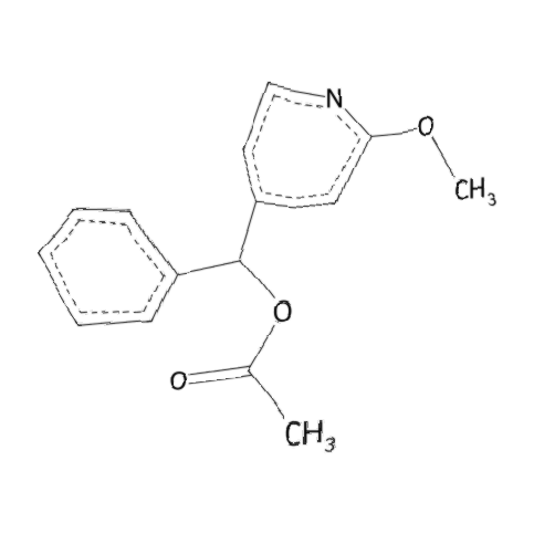 COc1cc(C(OC(C)=O)c2ccccc2)ccn1